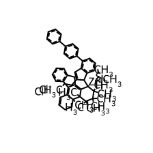 CCCC1=Cc2c(-c3ccc(-c4ccccc4)cc3)cccc2C1[C]1([Zr+2][SiH](C)C)C2=C3Cc4ccccc4C3=C3C=CCCC3(C)C2(C)C(C)(C)C(C)(C)C1(C)C.[Cl-].[Cl-]